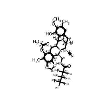 COc1c(C)cc2c(c1O)[C@H]1C3Cc4c(OC(C)=O)c(C)c5c(c4[C@H](CNC(=O)C(F)(F)C(F)(F)C(F)(F)F)N3[C@@H](C#N)[C@H](C2)N1C)OCO5